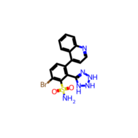 NS(=O)(=O)c1c(Br)ccc(-c2ccnc3ccccc23)c1C1=NNNN1